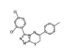 Cc1ccc(C2=Nn3c(nnc3-c3ccc(Cl)cc3Cl)SC2)cc1